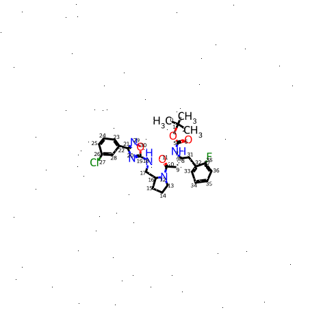 CC(C)(C)OC(=O)N[C@@H](CC(=O)N1CCCC1CNc1nc(-c2cccc(Cl)c2)no1)Cc1ccccc1F